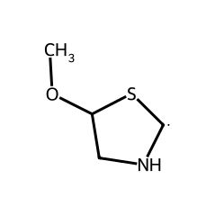 COC1CN[CH]S1